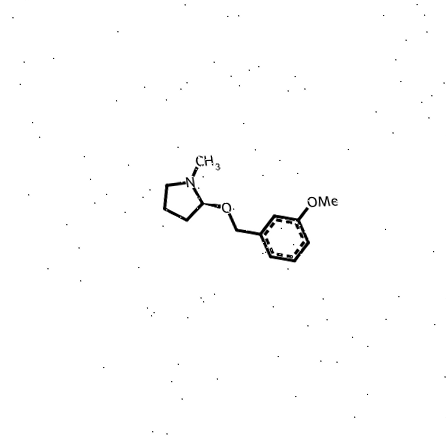 COc1cccc(CO[C@H]2CCCN2C)c1